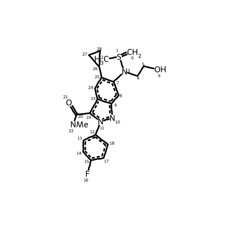 C=S(C)N(CCO)c1cc2nn(-c3ccc(F)cc3)c(C(=O)NC)c2cc1C1CC1